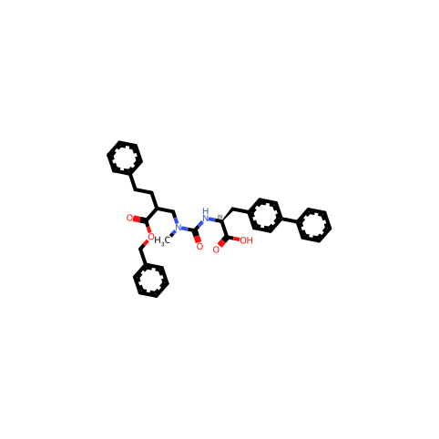 CN(CC(CCc1ccccc1)C(=O)OCc1ccccc1)C(=O)N[C@@H](Cc1ccc(-c2ccccc2)cc1)C(=O)O